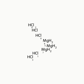 Cl.Cl.Cl.Cl.Cl.[MgH2].[MgH2].[MgH2]